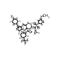 CCn1cc(S(=O)(=O)N(C2CC2)[C@H]2CCC3=Cc4c(cnn4-c4ccc(F)cc4)C[C@]3(C(=O)c3cc(C(F)(F)F)ccn3)C2)cn1